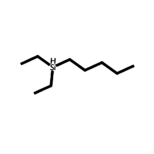 CCCCC[SiH](CC)CC